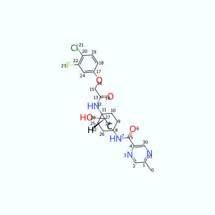 Cc1cnc(C(=O)NC23CCC(NC(=O)COc4ccc(Cl)c(F)c4)(CC2)[C@@H](O)C3)cn1